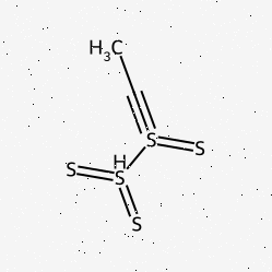 CC#S(=S)[SH](=S)=S